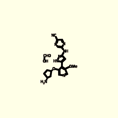 COc1cncc(O[C@@H]2CC[C@H](N)C2)c1-c1cc(Nc2cnc(C#N)cn2)n[nH]1.O=CO